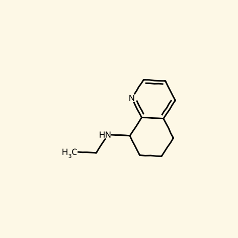 CCNC1CCCc2cccnc21